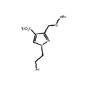 CCOC(=O)c1cn(CCC(C)=O)nc1COC(C)(C)C